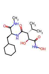 CNC(=O)[C@H](CC1CCCCC1)NC(=O)[C@H](C(C)C)[C@H](O)C(=O)NO